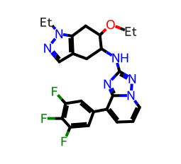 CCOC1Cc2c(cnn2CC)CC1Nc1nc2c(-c3cc(F)c(F)c(F)c3)cccn2n1